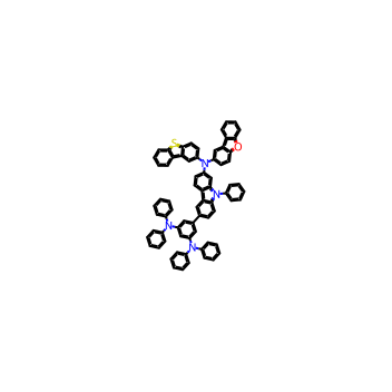 c1ccc(N(c2ccccc2)c2cc(-c3ccc4c(c3)c3ccc(N(c5ccc6oc7ccccc7c6c5)c5ccc6sc7ccccc7c6c5)cc3n4-c3ccccc3)cc(N(c3ccccc3)c3ccccc3)c2)cc1